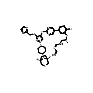 C[C@@H](CN/C=N\C=N)Oc1cc(-c2cnc(Nc3cn([C@H]4CC[C@H](N5[C@@H]6CC[C@H]5COC6)CC4)nc3OCc3ncco3)nc2)ccc1Cl